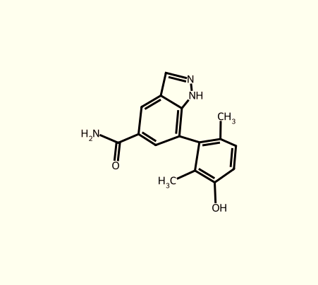 Cc1ccc(O)c(C)c1-c1cc(C(N)=O)cc2cn[nH]c12